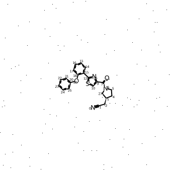 N#C[CH][C@@H]1CCN(C(=O)c2csc(-c3ccccc3Oc3ccccc3)n2)C1